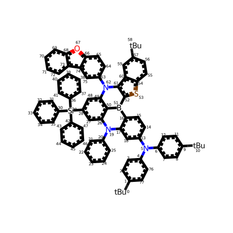 CC(C)(C)c1ccc(N(c2ccc(C(C)(C)C)cc2)c2ccc3c(c2)N(c2ccccc2)c2cc([Si](c4ccccc4)(c4ccccc4)c4ccccc4)cc4c2B3c2sc3ccc(C(C)(C)C)cc3c2N4c2ccc3oc4ccccc4c3c2)cc1